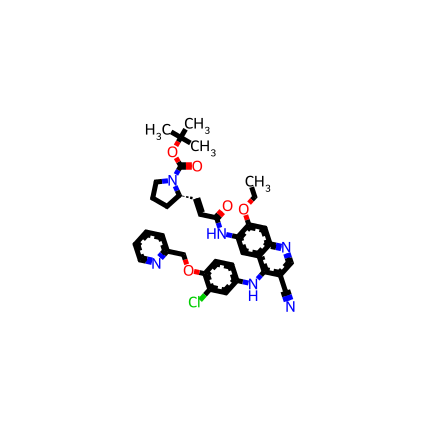 CCOc1cc2ncc(C#N)c(Nc3ccc(OCc4ccccn4)c(Cl)c3)c2cc1NC(=O)/C=C/[C@@H]1CCCN1C(=O)OC(C)(C)C